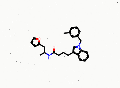 Cc1cccc(Cn2cc(CCCC(=O)NC(C)Cc3ccco3)c3ccccc32)c1